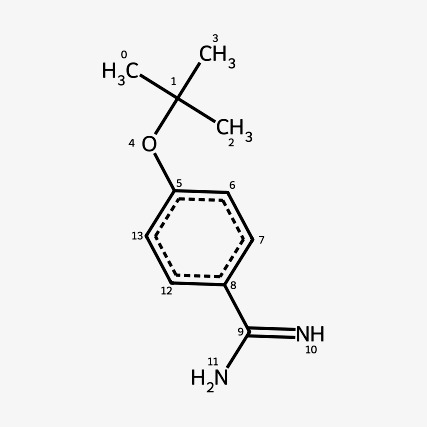 CC(C)(C)Oc1ccc(C(=N)N)cc1